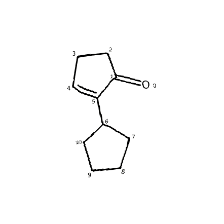 O=C1CCC=C1C1CCCC1